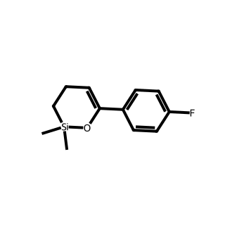 C[Si]1(C)CCC=C(c2ccc(F)cc2)O1